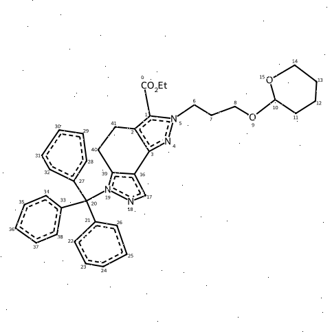 CCOC(=O)c1c2c(nn1CCCOC1CCCCO1)-c1cnn(C(c3ccccc3)(c3ccccc3)c3ccccc3)c1CC2